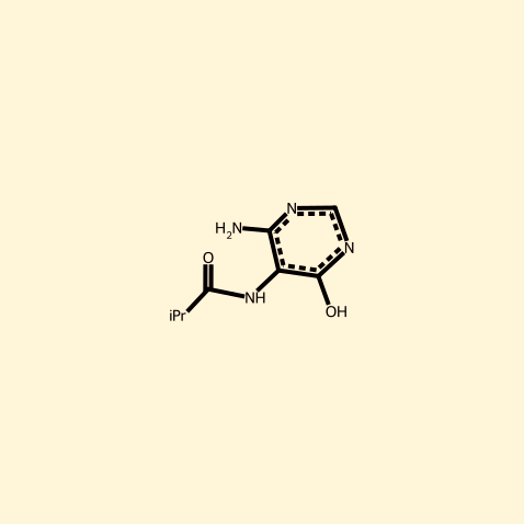 CC(C)C(=O)Nc1c(N)ncnc1O